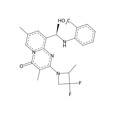 Cc1cc([C@@H](C)Nc2ccccc2C(=O)O)c2nc(N3CC(F)(F)C3C)c(C)c(=O)n2c1